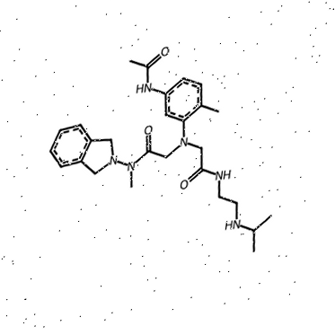 CC(=O)Nc1ccc(C)c(N(CC(=O)NCCNC(C)C)CC(=O)N(C)N2Cc3ccccc3C2)c1